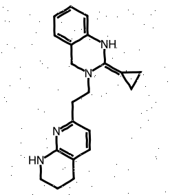 c1ccc2c(c1)CN(CCc1ccc3c(n1)NCCC3)C(=C1CC1)N2